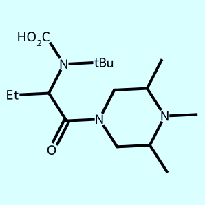 CCC(C(=O)N1CC(C)N(C)C(C)C1)N(C(=O)O)C(C)(C)C